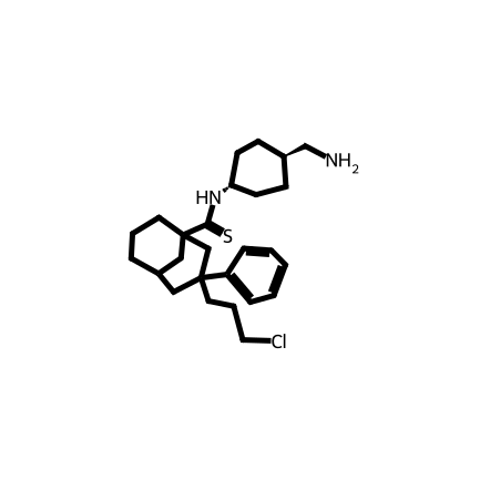 NC[C@H]1CC[C@H](NC(=S)C23CCCC(C2)CC(CCCCl)(c2ccccc2)C3)CC1